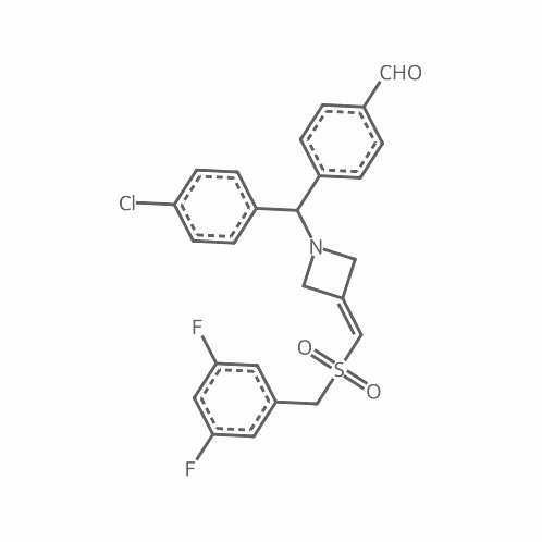 O=Cc1ccc(C(c2ccc(Cl)cc2)N2CC(=CS(=O)(=O)Cc3cc(F)cc(F)c3)C2)cc1